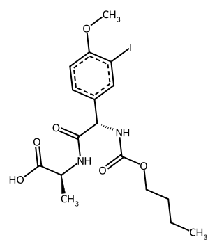 CCCCOC(=O)N[C@H](C(=O)N[C@@H](C)C(=O)O)c1ccc(OC)c(I)c1